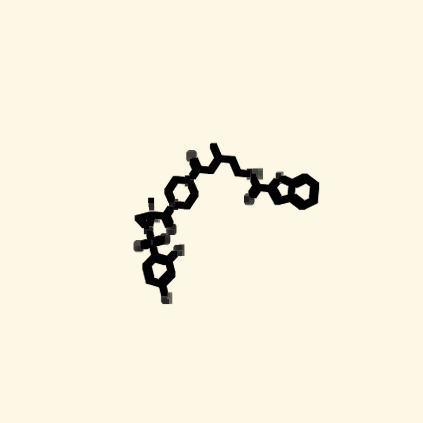 CC(CCNC(=O)c1cc2ccccc2s1)CC(=O)N1CCN(C(=O)[C@]2(C)CN2S(=O)(=O)c2ccc(Cl)cc2Cl)CC1